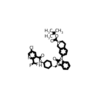 CC(C)(C)OC(=O)N1CCc2ccc(-n3c(=O)n(C[C@H]4CC[C@H](NC(=O)c5cc(Cl)cnc5C(F)F)CC4)c4ccccc43)cc2C1